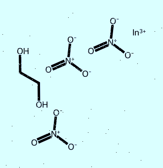 O=[N+]([O-])[O-].O=[N+]([O-])[O-].O=[N+]([O-])[O-].OCCO.[In+3]